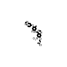 CCN(C)CCOc1cc2ncnc(Nc3cc(C)c(Oc4ccn5ncnc5c4)cc3F)c2cc1[N+](=O)[O-]